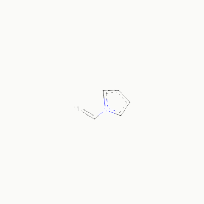 B=Cn1cccc1